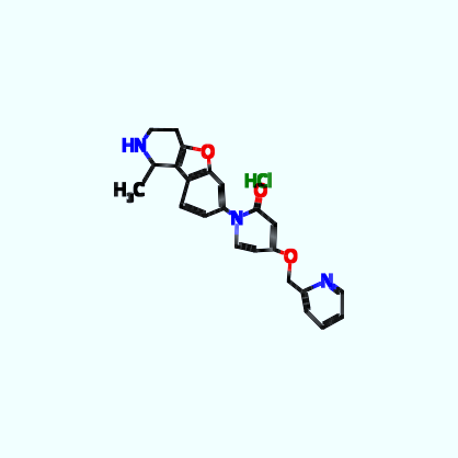 CC1NCCc2oc3cc(-n4ccc(OCc5ccccn5)cc4=O)ccc3c21.Cl